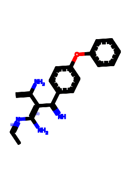 C=C(N)/C(C(=N)c1ccc(Oc2ccccc2)cc1)=C(N)\N=C/C